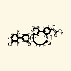 COC(=O)Nc1ccc2c(c1)NC(=O)CCCC[C@H](n1ccc(-c3c(F)ccc(Cl)c3F)cc1=O)c1cc-2ccn1